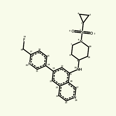 O=S(=O)(C1CC1)N1CCC(Nc2cc(-c3ccc(CF)nc3)cc3ccncc23)CC1